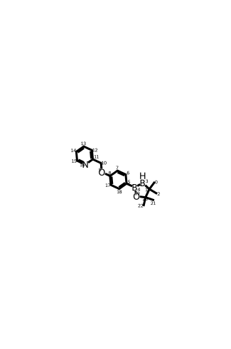 CC1(C)BB(c2ccc(OCc3ccccn3)cc2)OC1(C)C